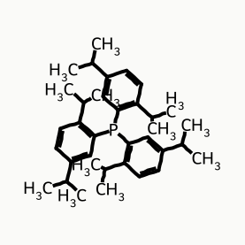 CC(C)c1ccc(C(C)C)c(P(c2cc(C(C)C)ccc2C(C)C)c2cc(C(C)C)ccc2C(C)C)c1